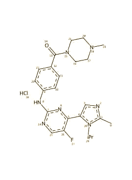 Cc1ncc(-c2nc(Nc3ccc(C(=O)N4CCN(C)CC4)cc3)ncc2F)n1C(C)C.Cl